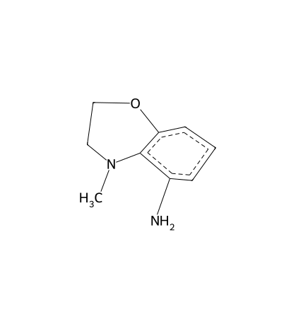 CN1CCOc2cccc(N)c21